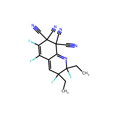 CCC1(F)C=C2C(=NC1(F)CC)C(C#N)(C#N)C(C#N)(C#N)C(F)=C2F